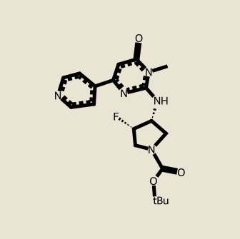 Cn1c(N[C@@H]2CN(C(=O)OC(C)(C)C)C[C@@H]2F)nc(-c2ccncc2)cc1=O